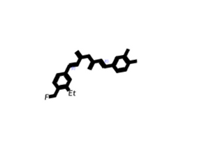 C=C(/C=C/c1ccc(C)c(C)c1)CC(=C)/C=C/c1ccc(CF)c(CC)c1